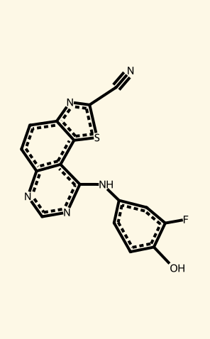 N#Cc1nc2ccc3ncnc(Nc4ccc(O)c(F)c4)c3c2s1